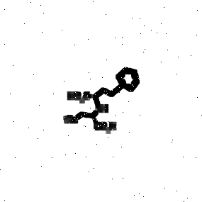 CC(C)(C)C[C@H](N[C@@H](CCc1ccccc1)C(=O)O)C(=O)O